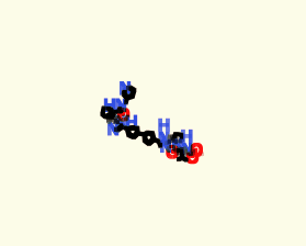 COC(=O)N[C@H](C(=O)N1CCC[C@H]1c1ncc(-c2ccc(-c3ccc(-c4cnc([C@@H]5C6CCC(C6)C5C(=O)NCc5cccnc5)[nH]4)cc3)cc2)[nH]1)C(C)C